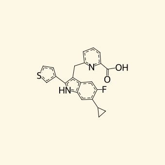 O=C(O)c1cccc(Cc2c(-c3ccsc3)[nH]c3cc(C4CC4)c(F)cc23)n1